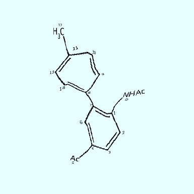 CC(=O)Nc1ccc(C(C)=O)cc1-c1ccc(C)cc1